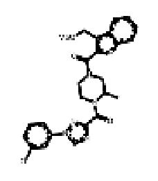 COCc1c(C(=O)N2CCN(C(=O)c3ncn(-c4cccc(Cl)c4)n3)C(C)C2)oc2ccccc12